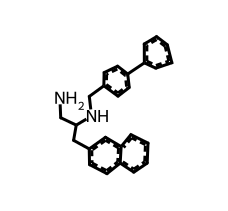 NCC(Cc1ccc2ccccc2c1)NCc1ccc(-c2ccccc2)cc1